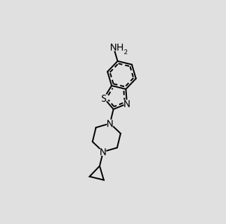 Nc1ccc2nc(N3CCN(C4CC4)CC3)sc2c1